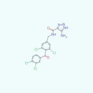 Nc1[nH]nnc1C(=O)NCc1cc(Cl)c(C(=O)c2ccc(Cl)c(Cl)c2)c(Cl)c1